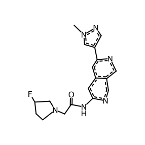 Cn1cc(-c2cc3cc(NC(=O)CN4CCC(F)C4)ncc3cn2)cn1